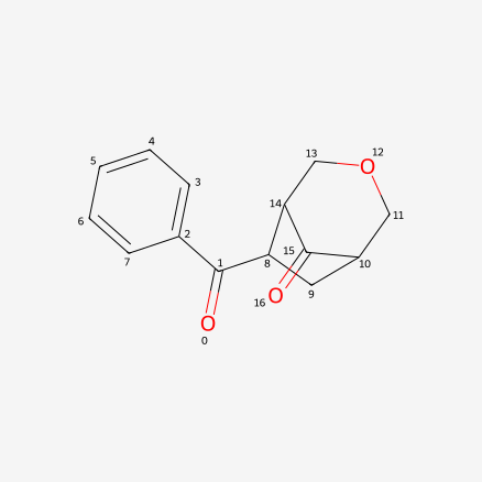 O=C(c1ccccc1)C1CC2COCC1C2=O